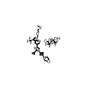 C[Si](C)(C)CCOCn1cc(C(F)(F)F)c2cc(-c3cn(C45CC(N6CCOCC6)(C4)C5)c(C4CC4)n3)cnc21.O=C(O)C(F)(F)F.O=C(O)C(F)(F)F